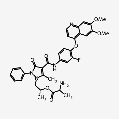 COc1cc2nccc(Oc3ccc(NC(=O)c4c(C)n(C[C@@H](C)OC(=O)C(C)N)n(-c5ccccc5)c4=O)cc3F)c2cc1OC